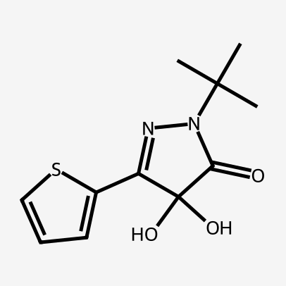 CC(C)(C)N1N=C(c2cccs2)C(O)(O)C1=O